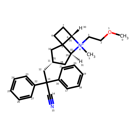 COCC[N+]1(C)[C@H]2CCC23C[C@@H](CC(C#N)(c2ccccc2)c2ccccc2)C[C@@H]31